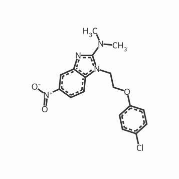 CN(C)c1nc2cc([N+](=O)[O-])ccc2n1CCOc1ccc(Cl)cc1